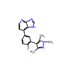 Cc1nn(C)c(C)c1-c1cc(-c2ccnc3nc[nH]c23)ccc1F